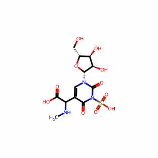 CNC(C(=O)O)c1cn([C@@H]2O[C@H](CO)[C@@H](O)[C@H]2O)c(=O)n(S(=O)(=O)O)c1=O